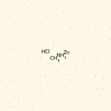 C.Cl.N.[Zn]